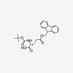 CC(C)(C)OC(=O)N[C@H](CCC(=O)OCC1c2ccccc2-c2ccccc21)C(=O)O